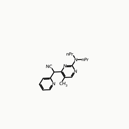 CCCN(CCC)c1ncc(C)c(C(C#N)c2ccccn2)n1